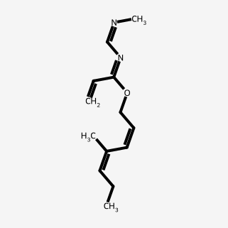 C=C/C(=N\C=N/C)OC/C=C\C(C)=C/CC